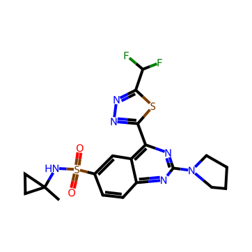 CC1(NS(=O)(=O)c2ccc3nc(N4CCCC4)nc(-c4nnc(C(F)F)s4)c3c2)CC1